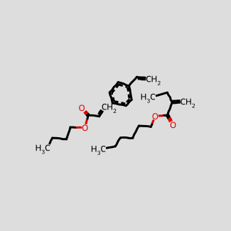 C=C(CC)C(=O)OCCCCCC.C=CC(=O)OCCCC.C=Cc1ccccc1